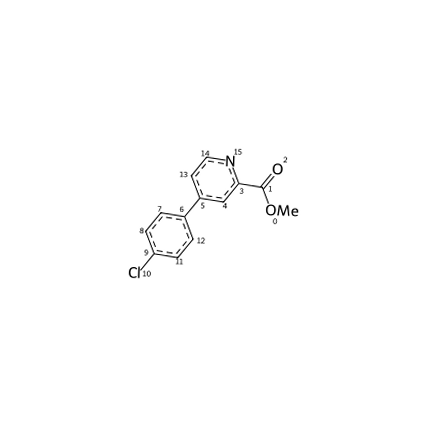 COC(=O)c1cc(-c2ccc(Cl)cc2)ccn1